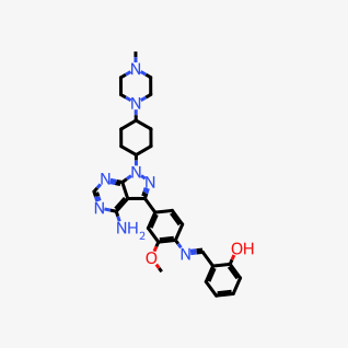 COc1cc(-c2nn(C3CCC(N4CCN(C)CC4)CC3)c3ncnc(N)c23)ccc1N=Cc1ccccc1O